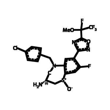 COC(F)(c1nc(-c2cc3c(cc2F)[S+]([O-])C[C@H](N)CN3Cc2ccc(Cl)cc2)no1)C(F)(F)F